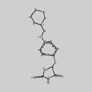 O=C1NC(=O)C(Cc2ccc(OCC3CCCCC3)cc2)S1